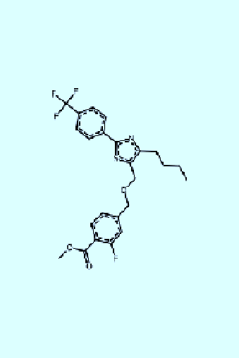 CCCCc1nc(-c2ccc(C(F)(F)F)cc2)sc1COCc1ccc(C(=O)OC)c(F)c1